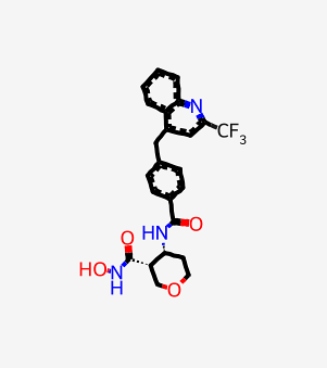 O=C(N[C@@H]1CCOC[C@@H]1C(=O)NO)c1ccc(Cc2cc(C(F)(F)F)nc3ccccc23)cc1